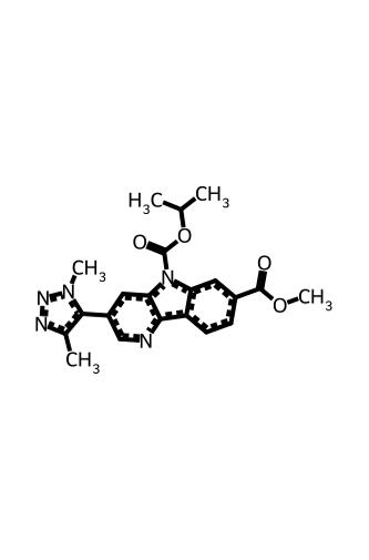 COC(=O)c1ccc2c3ncc(-c4c(C)nnn4C)cc3n(C(=O)OC(C)C)c2c1